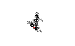 COc1cccc(OC)c1-n1c(NS(=O)(=O)CC(C)(O)c2ncc(C#N)cn2)nnc1-c1ccc(C)o1